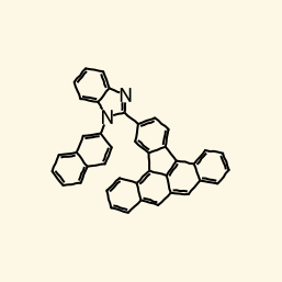 c1ccc2cc(-n3c(-c4ccc5c(c4)-c4c6ccccc6cc6cc7ccccc7c-5c46)nc4ccccc43)ccc2c1